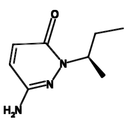 CC[C@@H](C)n1nc(N)ccc1=O